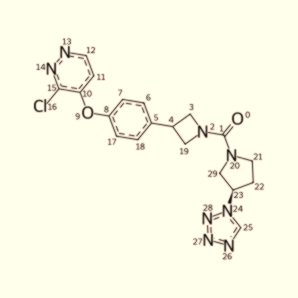 O=C(N1CC(c2ccc(Oc3ccnnc3Cl)cc2)C1)N1CC[C@@H](n2cnnn2)C1